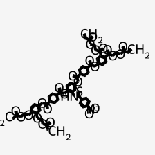 C=CC(=O)OCOC(=O)c1ccc(OC(=O)C2CCC(C(=O)Oc3ccc(OC(=O)C4CCC(C(=O)Oc5ccc(OCOC(=O)C=C)c(OCOC(=O)C=C)c5)CC4)c4c3SC(c3ccc([N+](=O)[O-])cc3)N4)CC2)cc1C(=O)OCOC(=O)C=C